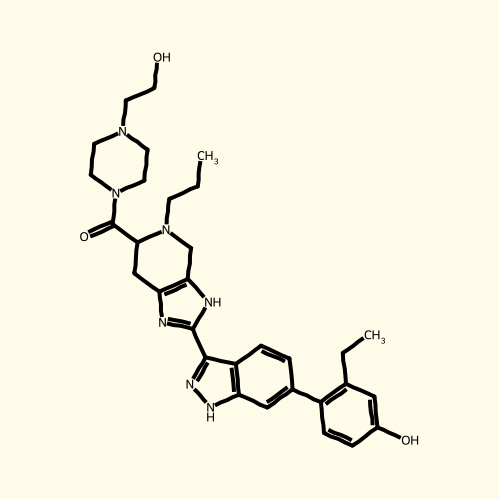 CCCN1Cc2[nH]c(-c3n[nH]c4cc(-c5ccc(O)cc5CC)ccc34)nc2CC1C(=O)N1CCN(CCO)CC1